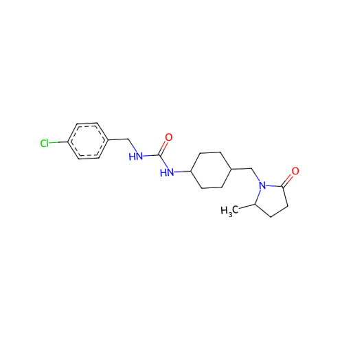 CC1CCC(=O)N1CC1CCC(NC(=O)NCc2ccc(Cl)cc2)CC1